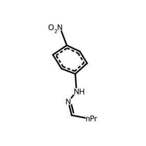 CCC/C=N\Nc1ccc([N+](=O)[O-])cc1